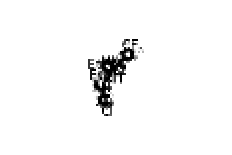 CCc1cc(NC(=O)c2cccc(C(F)(F)F)c2)c(CC)c(Nc2nccc(-c3ccc(Cl)nc3)n2)c1CC